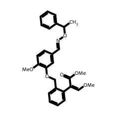 CO/C=C(\C(=O)OC)c1ccccc1COc1cc(/C=N/OC(C)c2ccccc2)ccc1OC